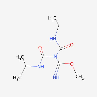 CCNC(=O)N(C(=N)OC)C(=O)NC(C)C